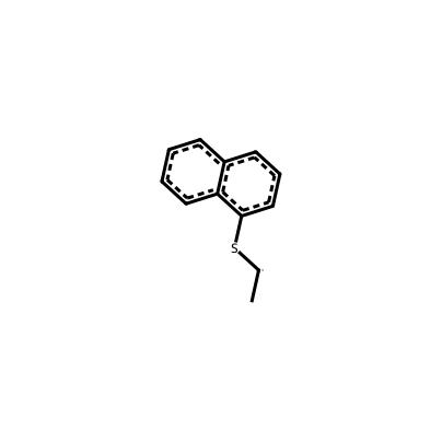 C[CH]Sc1cccc2ccccc12